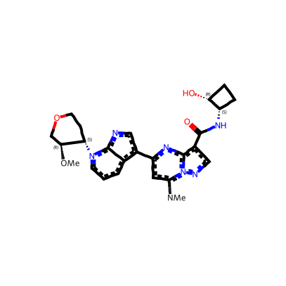 CNc1cc(-c2cnc3n([C@H]4CCOC[C@@H]4OC)cccc2-3)nc2c(C(=O)N[C@H]3CC[C@H]3O)cnn12